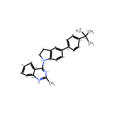 Cc1nc(N2CCc3cc(-c4ccc(C(C)(C)C)cc4)ccc32)c2ccccc2n1